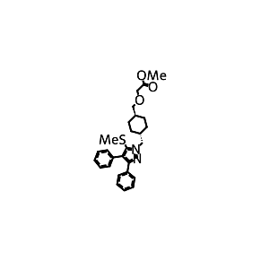 COC(=O)COC[C@H]1CC[C@H](Cn2nc(-c3ccccc3)c(-c3ccccc3)c2SC)CC1